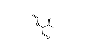 C=COC([C]=O)C(C)=O